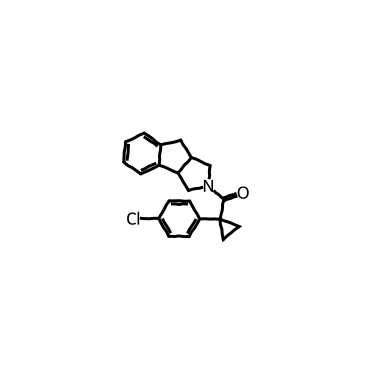 O=C(N1CC2Cc3ccccc3C2C1)C1(c2ccc(Cl)cc2)CC1